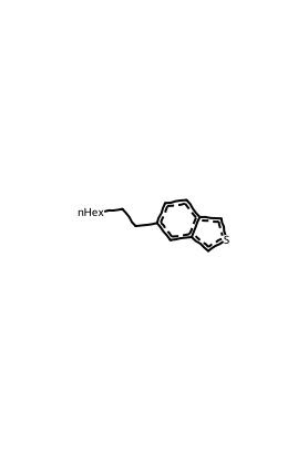 CCCCCCCCc1ccc2cscc2c1